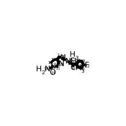 CC(C)(CNc1ncc2c(n1)CN(C(N)=O)CC2)c1ccc(F)cc1